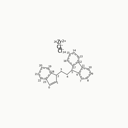 C1=CC(CCC2c3ccccc3-c3ccccc32)c2ccccc21.[Cl-].[Cl-].[Zr+2]